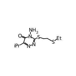 CCSCCSc1nnc(C(C)C)c(=O)n1N